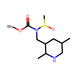 CC1CNC(C)C(CN(C(=O)OC(C)(C)C)[S+](C)[O-])C1